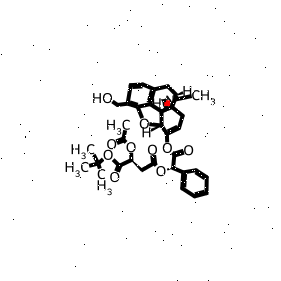 CC(=O)O[C@@H](CC(=O)O[C@H](C(=O)OC1=CC[C@@]2(O)[C@H]3Cc4ccc(CO)c5c4[C@@]2(CCN3C)[C@H]1O5)c1ccccc1)C(=O)OC(C)(C)C